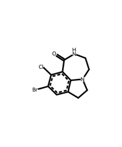 O=C1NCCN2CCc3cc(Br)c(Cl)c1c32